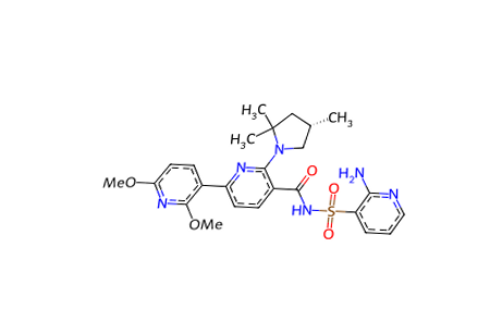 COc1ccc(-c2ccc(C(=O)NS(=O)(=O)c3cccnc3N)c(N3C[C@@H](C)CC3(C)C)n2)c(OC)n1